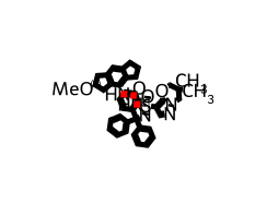 CO[C@@H]1Cc2cc3c(c(NC(=O)N[S@](=O)(=NC(c4ccccc4)(c4ccccc4)c4ccccc4)c4cnn5c4OCC(C)(C)C5)c2C1)CCC3